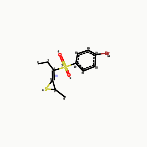 CC/C(=C1\SC1C)S(=O)(=O)c1ccc(Br)cc1